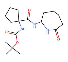 CC(C)(C)OC(=O)NC1(C(=O)NC2CCCCC(=O)N2)CCCC1